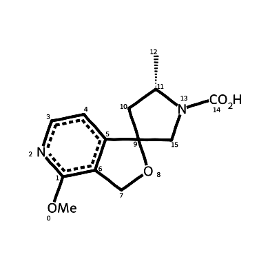 COc1nccc2c1COC21C[C@H](C)N(C(=O)O)C1